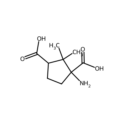 CC1(C)C(C(=O)O)CCC1(N)C(=O)O